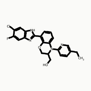 CCc1ccc(N2c3cccc(-c4nc5cc(F)c(Cl)cc5[nH]4)c3OCC2CO)nc1